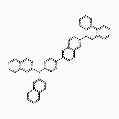 c1ccc2cc(N(c3ccc(-c4ccc5cc(-c6cc7ccccc7c7ccccc67)ccc5c4)cc3)c3ccc4ccccc4c3)ccc2c1